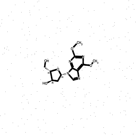 COc1nc(OC)c2ncn([C@@H]3C[C@@H](O)[C@H](CO)O3)c2n1